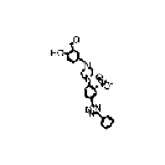 O=Cc1cc(CN2CCN(c3ccc(-c4nc(-c5ccccc5)no4)cc3[N+](=O)[O-])CC2)ccc1O